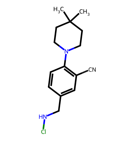 CC1(C)CCN(c2ccc(CNCl)cc2C#N)CC1